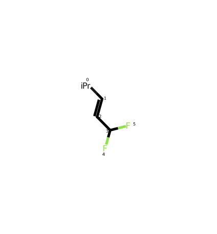 CC(C)/C=C/[C](F)F